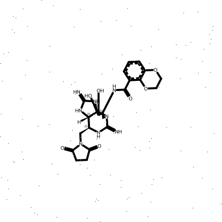 N=C1N[C@H]2[C@H](CN3C(=O)CCC3=O)NC(=N)N3CC(NC(=O)c4cccc5c4OCCO5)C(O)(O)[C@]23N1